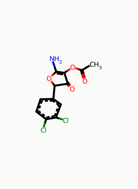 CC(=O)OC1=C(N)OC(c2ccc(Cl)c(Cl)c2)C1=O